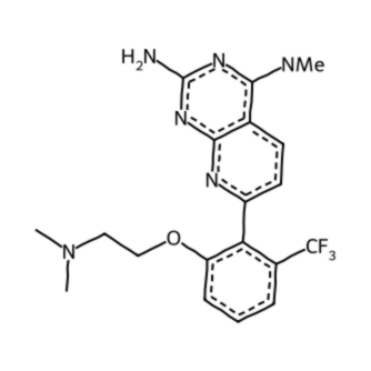 CNc1nc(N)nc2nc(-c3c(OCCN(C)C)cccc3C(F)(F)F)ccc12